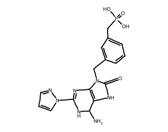 NC1NC(n2cccn2)=Nc2c1[nH]c(=O)n2Cc1cccc(CP(=O)(O)O)c1